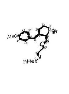 CCCCCC/N=C/CON=C1C(=Cc2ccc(OC)cc2)CCC[C@@H]1CCC